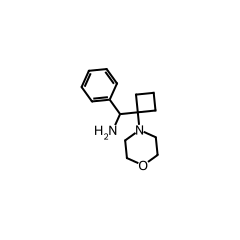 NC(c1ccccc1)C1(N2CCOCC2)CCC1